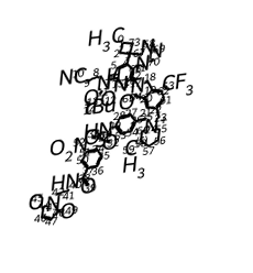 CC1CC(c2cc(N(CCC#N)C(=O)OC(C)(C)C)nc(N3Cc4c(cc(C[N+]5(Cc6ccc(NS(=O)(=O)c7ccc(C(=O)NCCN8C(=O)C=CC8=O)cc7[N+](=O)[O-])cc6)CCC[C@H](C)C5)cc4C(F)(F)F)C3=O)c2)(c2nncn2C)C1